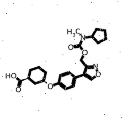 CN(C(=O)OCc1nocc1-c1ccc(O[C@H]2CCC[C@H](C(=O)O)C2)cc1)C1CCCC1